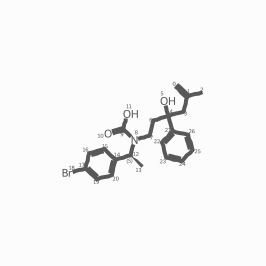 C=C(C)CC(O)(CCN(C(=O)O)[C@@H](C)c1ccc(Br)cc1)c1ccccc1